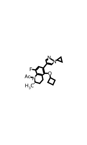 CC(=O)N1c2c(F)cc(-c3cnn(C4CC4)c3)c(OC3CCC3)c2CC[C@@H]1C